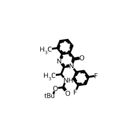 Cc1cccc2c(=O)n(-c3cc(F)cc(F)c3)c(C(C)NC(=O)OC(C)(C)C)nc12